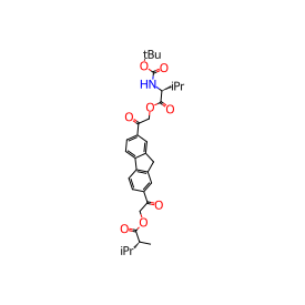 CC(C)[C@H](C)C(=O)OCC(=O)c1ccc2c(c1)Cc1cc(C(=O)COC(=O)[C@@H](NC(=O)OC(C)(C)C)C(C)C)ccc1-2